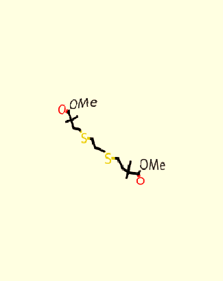 COC(=O)C(C)(C)CCSCCCSCCC(C)(C)C(=O)OC